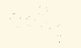 N[C@]1(c2ccc(-c3nc4ccc5nnc(Cl)n5c4nc3-c3ccccc3)cc2)C[C@](O)(C2CC2)C1